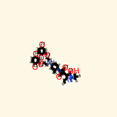 CCc1nn(C(C)(C)C)c(O)c1C1=C([O-])/C(=C2/C=CC(=[N+](CCOC3=CC(=O)C=CC3=O)CCOC3=CC(=O)C=CC3=O)C=C2C)C1=O